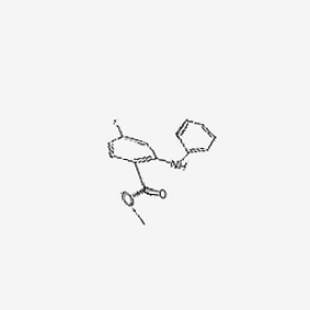 COC(=O)c1ccc(F)cc1Nc1ccccc1